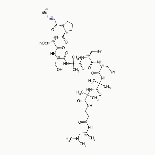 CCCCCCCC[C@H](NC(=O)[C@@H]1CCCN1C(=O)/C=C/[C@@H](C)CC)C(=O)N[C@@H](CO)C(=O)NC(C)(C)C(=O)N[C@@H](CC(C)C)C(=O)N[C@@H](CC(C)C)C(=O)NC(C)(C)C(=O)NC(C)(C)C(=O)NCCC(=O)N[C@@H](C)CN(C)C